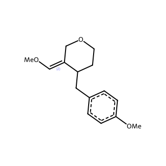 CO/C=C1\COCCC1Cc1ccc(OC)cc1